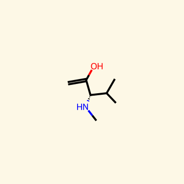 C=C(O)[C@@H](NC)C(C)C